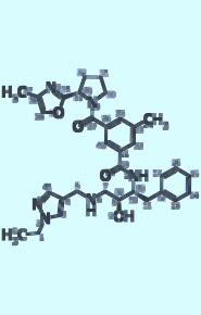 CCn1cc(CNC[C@H](O)[C@H](Cc2ccccc2)NC(=O)c2cc(C)cc(C(=O)N3CCC[C@@H]3c3nc(C)co3)c2)cn1